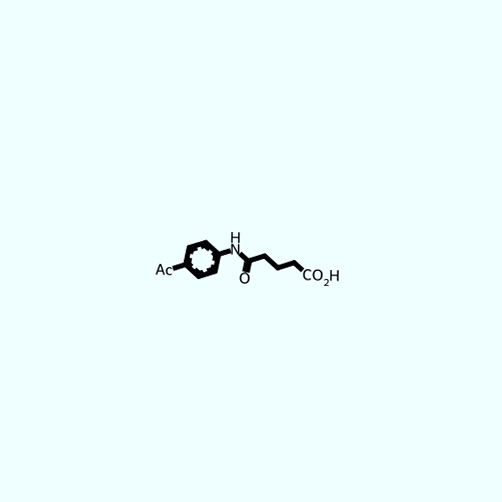 CC(=O)c1ccc(NC(=O)CCCC(=O)O)cc1